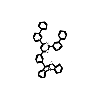 c1ccc(-c2cccc(-c3cc(-c4cccc(-c5c6ccccc6n6c5sc5ccccc56)c4)nc(-c4cccc(-c5ccccc5)c4)n3)c2)cc1